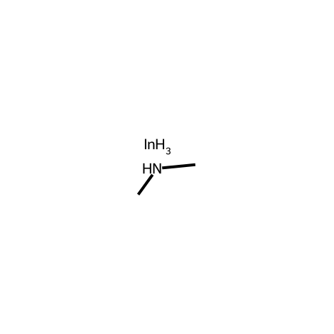 CNC.[InH3]